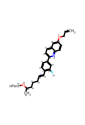 C=CCOc1ccc2nc(-c3ccc(/C=C/CCCC(C)OCCCCC)c(F)c3)ccc2c1